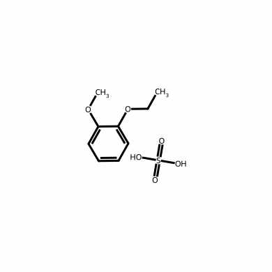 CCOc1ccccc1OC.O=S(=O)(O)O